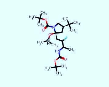 CC(NC(=O)OC(C)(C)C)C(F)C[C@]1(O[SiH](C)C)C[C@H](C(C)(C)C)CN1C(=O)OC(C)(C)C